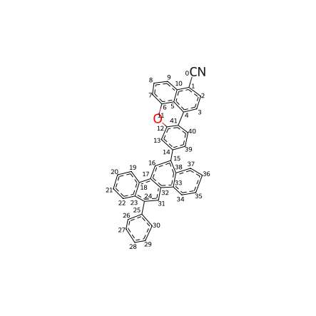 N#Cc1ccc2c3c(cccc13)Oc1cc(-c3cc4c5ccccc5c(-c5ccccc5)cc4c4ccccc34)ccc1-2